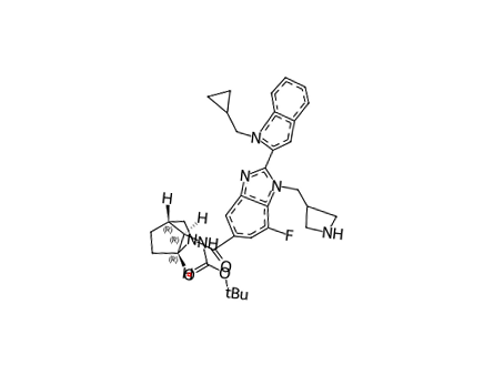 CC(C)(C)OC(=O)N[C@@H]1[C@@H]2CC[C@H]1N(C(=O)c1cc(F)c3c(c1)nc(-c1cc4ccccc4n1CC1CC1)n3CC1CNC1)C2